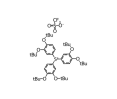 CC(C)(C)Oc1ccc([S+](c2ccc(OC(C)(C)C)c(OC(C)(C)C)c2)c2ccc(OC(C)(C)C)c(OC(C)(C)C)c2)cc1OC(C)(C)C.O=S(=O)([O-])C(F)(F)F